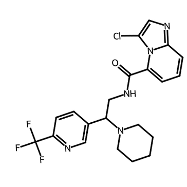 O=C(NCC(c1ccc(C(F)(F)F)nc1)N1CCCCC1)c1cccc2ncc(Cl)n12